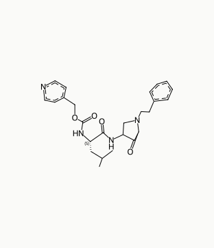 CC(C)C[C@H](NC(=O)OCc1ccncc1)C(=O)NC1CN(CCc2ccccc2)CC1=O